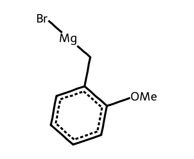 COc1ccccc1[CH2][Mg][Br]